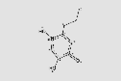 CCCc1cc(=O)c(O)cn1O